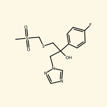 CS(=O)(=O)CSCC(O)(Cn1cncn1)c1ccc(F)cc1